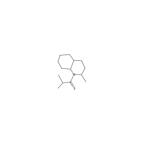 CC(C)C(=S)N1C(C)CCC2CCCCC21